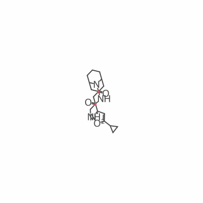 NCCCC(=O)N1C2CCCC1CC(NC(=O)c1cc(C3CC3)on1)C2